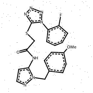 COc1ccc(Cn2nccc2NC(=O)CSc2nnnn2-c2ccccc2F)cc1